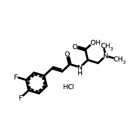 CN(C)CC(NC(=O)C=Cc1ccc(F)c(F)c1)C(=O)O.Cl